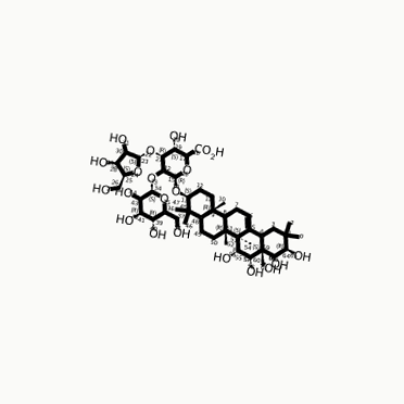 CC1(C)CC2C3=CCC4[C@@]5(C)CC[C@H](O[C@@H]6OC(C(=O)O)[C@@H](O)[C@@H](O[C@@H]7O[C@@H](CO)[C@@H](O)C7O)C6O[C@@H]6OC(CO)[C@H](O)[C@@H](O)C6O)C(C)(C)C5CC[C@@]4(C)[C@]3(C)[C@@H](O)[C@@H](O)[C@@]2(CO)[C@@H](O)[C@@H]1O